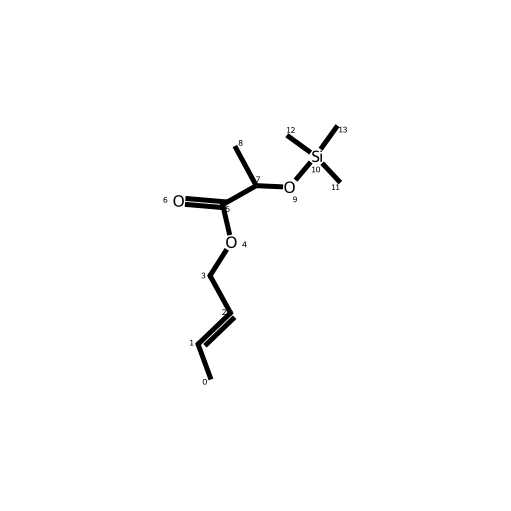 CC=CCOC(=O)C(C)O[Si](C)(C)C